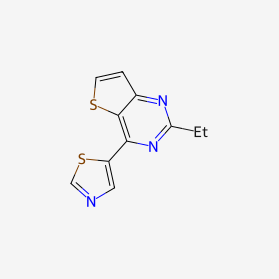 CCc1nc(-c2cncs2)c2sccc2n1